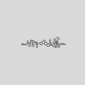 COC(=O)N[C@H](C(=O)N1CCC[C@H]1c1ncc(-c2ccc3c(c2)COc2cc4c(ccc5nc([C@@H]6C[C@H]7[C@@H](C)[C@H]7N6C(=O)[C@@H](NC(=O)OC)C(C)C)[nH]c54)cc2-3)[nH]1)C(C)C